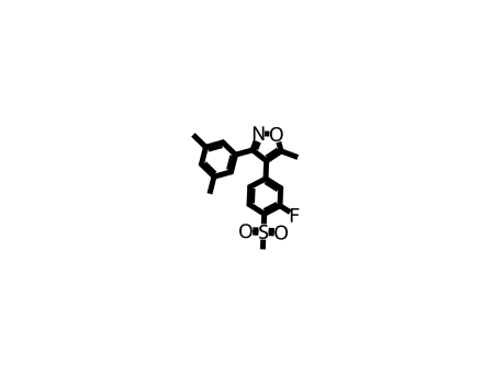 Cc1cc(C)cc(-c2noc(C)c2-c2ccc(S(C)(=O)=O)c(F)c2)c1